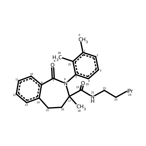 Cc1cccc(N2C(=O)c3ccccc3CCC2(C)C(=O)NCCC(C)C)c1C